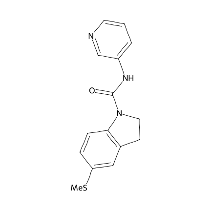 CSc1ccc2c(c1)CCN2C(=O)Nc1cccnc1